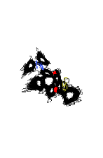 c1ccc(N(c2ccccc2)c2ccc3c(c2)-c2ccccc2-c2ccccc2C32c3ccccc3-c3c2ccc2c3sc3ccccc32)cc1